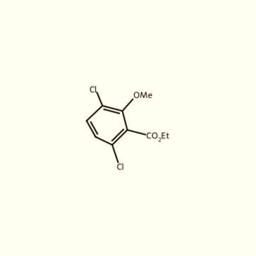 CCOC(=O)c1c(Cl)ccc(Cl)c1OC